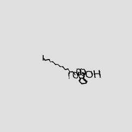 O=C(O)c1ccccc1C(=O)OCC(I)CCCCCCCCCCI